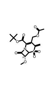 C=C1C(COC(C)=O)=C(C(=O)OC(C)(C)C)N2C(=O)[C@@H](OC)C2S1(=O)=O